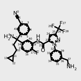 N#Cc1cccc(C(N)(CCC2CC2)c2ccc(F)c(NC(=O)c3cc(C(F)(F)F)nn3-c3cccc(CN)c3)c2)c1